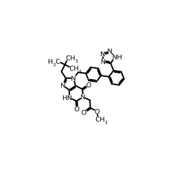 COC(=O)Cn1c(=O)[nH]c2nc(CC(C)(C)C)n(Cc3ccc(-c4ccccc4-c4nnn[nH]4)cc3)c2c1=O